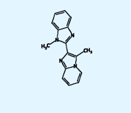 Cc1c(-c2nc3ccccc3n2C)nc2ccccn12